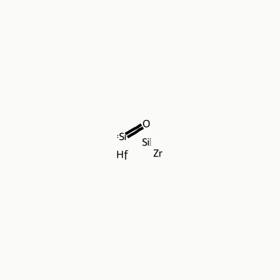 O=[Si].[Hf].[Si].[Zr]